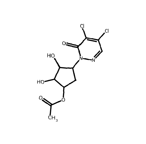 CC(=O)OC1CC(n2ncc(Cl)c(Cl)c2=O)C(O)C1O